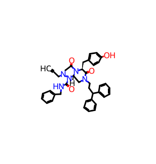 C#CCN1CC(=O)N2[C@@H](Cc3ccc(O)cc3)C(=O)N(CCC(c3ccccc3)c3ccccc3)C[C@@H]2N1C(=O)NCc1ccccc1